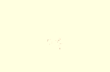 CCCCOC(=O)CCN(CC)C(=O)N1Cc2ccccc2C[C@H]1C(=O)O